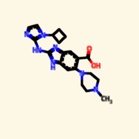 CN1CCN(c2cc3[nH]c(Nc4nccn4C4CCC4)nc3cc2C(=O)O)CC1